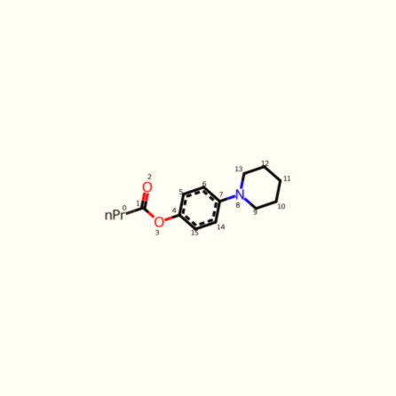 CCCC(=O)Oc1ccc(N2CCCCC2)cc1